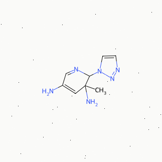 CC1(N)C=C(N)C=NC1n1ccnn1